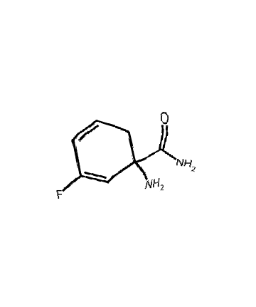 NC(=O)C1(N)C=C(F)C=CC1